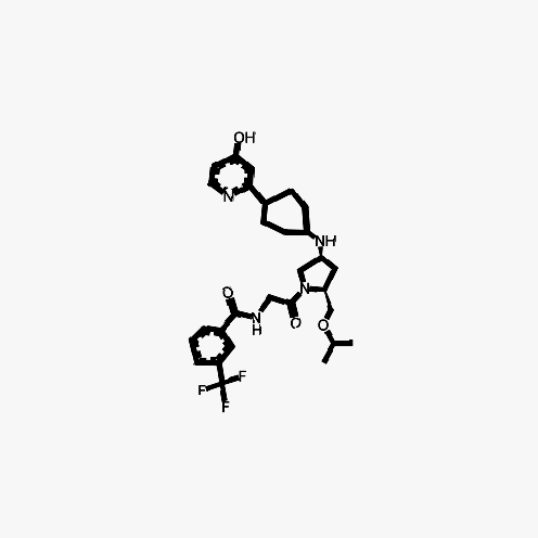 CC(C)OC[C@@H]1C[C@H](NC2CCC(c3cc(O)ccn3)CC2)CN1C(=O)CNC(=O)c1cccc(C(F)(F)F)c1